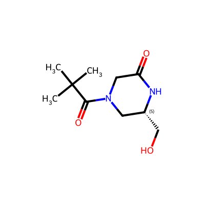 CC(C)(C)C(=O)N1CC(=O)N[C@H](CO)C1